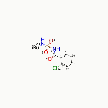 CCC(C)NS(=O)(=O)NC(=O)c1ccccc1Cl